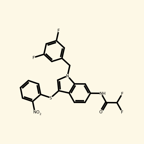 O=C(Nc1ccc2c(Sc3ccccc3[N+](=O)[O-])cn(Cc3cc(F)cc(F)c3)c2c1)C(F)F